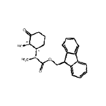 CN(C(=O)OCC1c2ccccc2-c2ccccc21)[C@@H]1CCCC(=O)[C@@H]1O